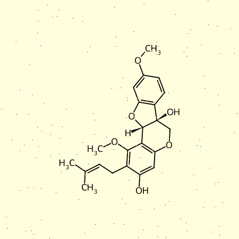 COc1ccc2c(c1)O[C@H]1c3c(cc(O)c(CC=C(C)C)c3OC)OC[C@@]21O